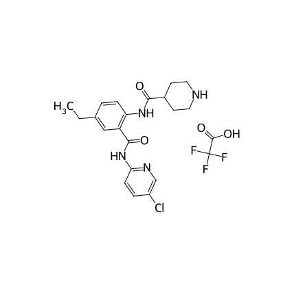 CCc1ccc(NC(=O)C2CCNCC2)c(C(=O)Nc2ccc(Cl)cn2)c1.O=C(O)C(F)(F)F